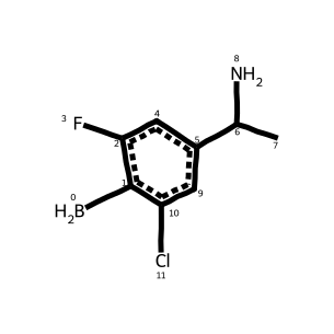 Bc1c(F)cc(C(C)N)cc1Cl